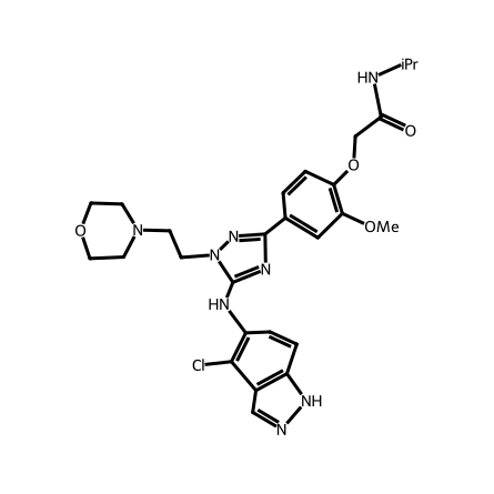 COc1cc(-c2nc(Nc3ccc4[nH]ncc4c3Cl)n(CCN3CCOCC3)n2)ccc1OCC(=O)NC(C)C